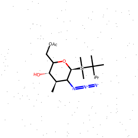 CC(=O)OCC1O[C@@H]([Si](C)(C)C(C)(C)C(C)C)C(N=[N+]=[N-])[C@@H](C)[C@@H]1O